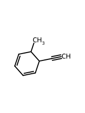 C#CC1C=CC=CC1C